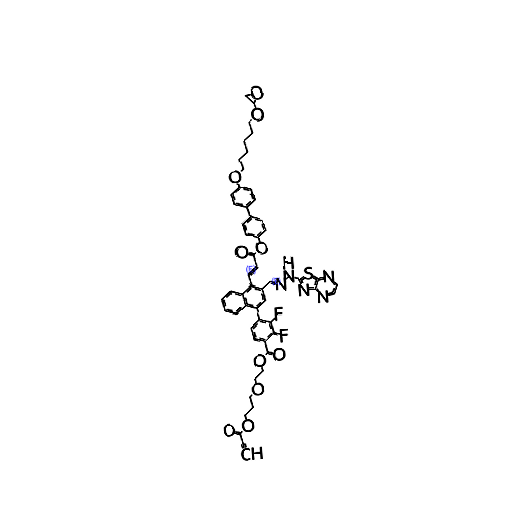 C#CC(=O)OCCCOCCOC(=O)c1ccc(-c2cc(/C=N/Nc3nc4nccnc4s3)c(/C=C/C(=O)Oc3ccc(-c4ccc(OCCCCCCOC5CO5)cc4)cc3)c3ccccc23)c(F)c1F